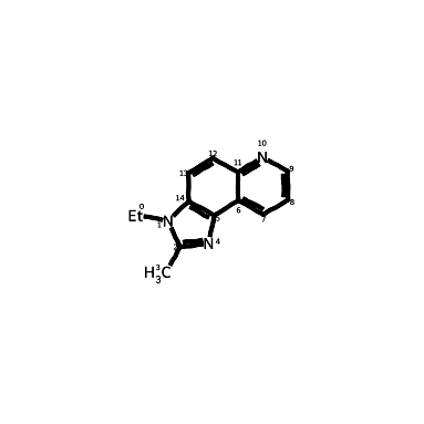 CCn1c(C)nc2c3cccnc3ccc21